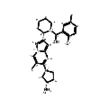 Cc1ccc(Br)c(C(O)N2CCCC[C@H]2c2cc3nc(N4CC[C@H](N)C4)c(C)cn3n2)c1